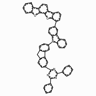 c1ccc(-c2nc(-c3ccccc3)nc(-c3ccc4c(c3)-c3cc(-n5c6ccccc6c6cc(-c7cccc8c7oc7c8ccc8c9ccccc9oc87)ccc65)ccc3C4)n2)cc1